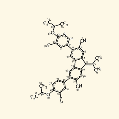 N#CC(C#N)=C1c2cc(C#N)c(-c3ccc(OC(C(F)(F)F)C(F)(F)F)c(F)c3)cc2-c2cc(-c3ccc(OC(C(F)(F)F)C(F)(F)F)c(F)c3)c(C#N)cc21